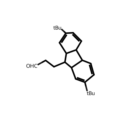 CC(C)(C)C1=CC2C(C=C1)C1C=CC(C(C)(C)C)=CC1C2CCC=O